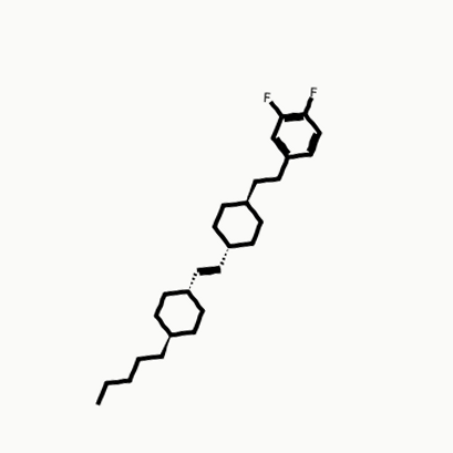 CCCCC[C@H]1CC[C@H](C=C[C@H]2CC[C@H](CCc3ccc(F)c(F)c3)CC2)CC1